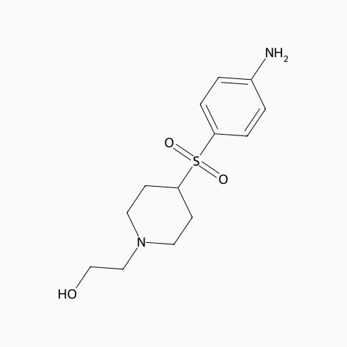 Nc1ccc(S(=O)(=O)C2CCN(CCO)CC2)cc1